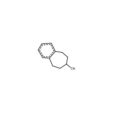 N#CC1CCc2ccccc2CC1